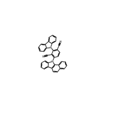 N#Cc1ccc(-n2c3ccccc3c3ccc4ccccc4c32)c(C#N)c1-n1c2ccccc2c2ccccc21